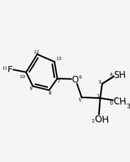 CC(O)(CS)COc1ccc(F)cc1